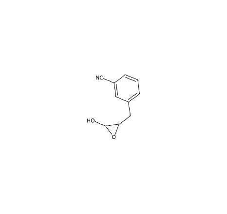 N#Cc1cccc(CC2OC2O)c1